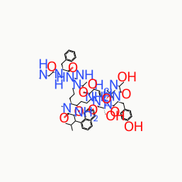 CNCC(=O)N[C@@H](Cc1ccccc1)C(=O)NC(=N)N(CCC[C@@H](C(=O)CCCN(C(=O)[C@@H](CO)NC(=O)[C@H](Cc1ccc(O)cc1)NC(=O)[C@@H](N)CO)C(=CC(=O)[C@H](C)N)OC(C)(C)C)N(C)C(=O)[C@@H](N)C(c1cccc2ccccc12)C(C)C)C(C)=O